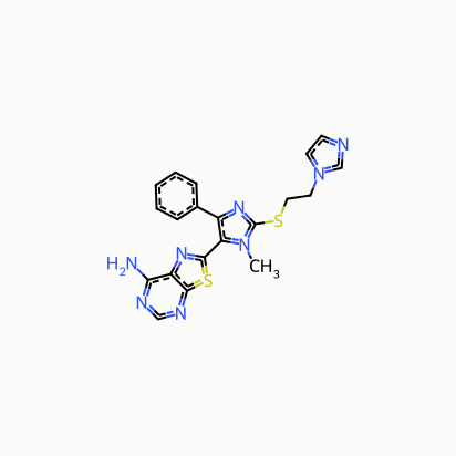 Cn1c(SCCn2ccnc2)nc(-c2ccccc2)c1-c1nc2c(N)ncnc2s1